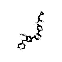 COc1cc(-c2cncc(-c3cc(NC(=O)CC4CC4)cs3)n2)ccc1CN1CCOCC1